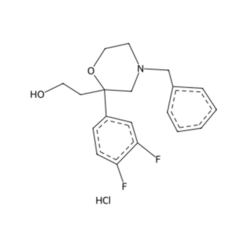 Cl.OCCC1(c2ccc(F)c(F)c2)CN(Cc2ccccc2)CCO1